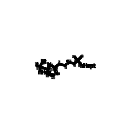 CCCCCCCC(C)(C)CSCCc1nccc(C(C)(CC)CCCCCC)n1